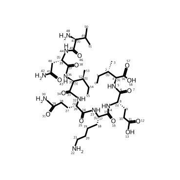 CC[C@H](C)[C@H](NC(=O)[C@H](CCC(=O)O)NC(=O)[C@H](CCCCN)NC(=O)[C@H](CCC(N)=O)NC(=O)[C@@H](NC(=O)[C@H](CC(N)=O)NC(=O)[C@@H](N)C(C)C)[C@@H](C)CC)C(=O)O